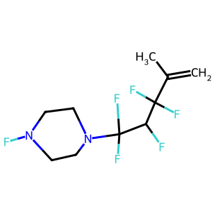 C=C(C)C(F)(F)C(F)C(F)(F)N1CCN(F)CC1